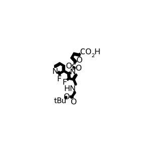 CC(C)(C)OC(=O)CNCc1cn(S(=O)(=O)c2ccc(C(=O)O)o2)c(-c2cccnc2F)c1F